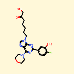 O=C(CO)CCCCCn1cnc2c(N3CCOCC3)nc(-c3ccc(F)c(O)c3)nc21